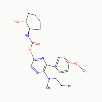 CC(C)CCN(C)c1ncc(OC(=O)N[C@@H]2CCCC[C@H]2O)nc1-c1ccc(OC(F)(F)F)cc1